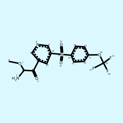 COC(N)C(=O)c1cncc(S(=O)(=O)c2ccc(OC(F)(F)F)cc2)c1